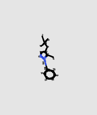 Cc1c(CC(C)(C)C)cnn1-c1ccccc1